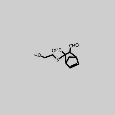 O=CC1C2C=CC(C2)C1(C=O)SCCO